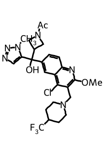 COc1nc2ccc(C(O)(c3cnnn3C)C3CN(C(C)=O)C3)cc2c(Cl)c1CN1CCC(C(F)(F)F)CC1